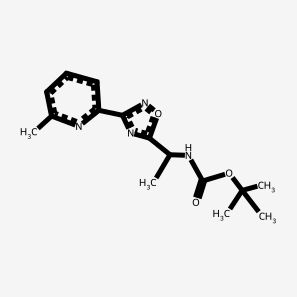 Cc1cccc(-c2noc(C(C)NC(=O)OC(C)(C)C)n2)n1